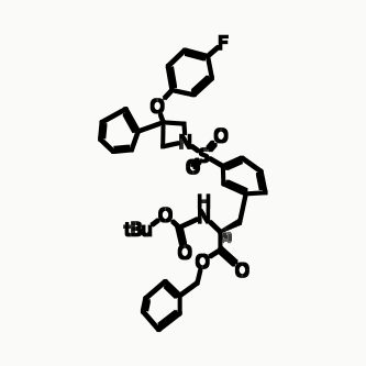 CC(C)(C)OC(=O)N[C@@H](Cc1cccc(S(=O)(=O)N2CC(Oc3ccc(F)cc3)(c3ccccc3)C2)c1)C(=O)OCc1ccccc1